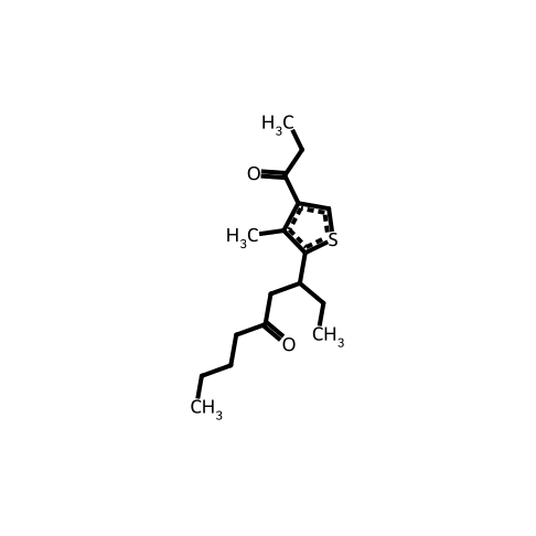 CCCCC(=O)CC(CC)c1scc(C(=O)CC)c1C